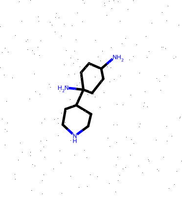 NC1CCC(N)(C2CCNCC2)CC1